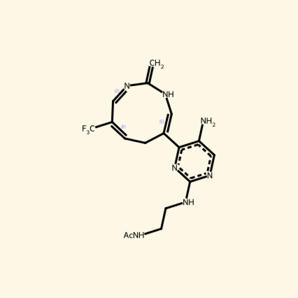 C=C1/N=C\C(C(F)(F)F)=C/C/C(c2nc(NCCNC(C)=O)ncc2N)=C\N1